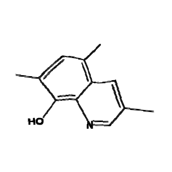 Cc1cnc2c(O)c(C)cc(C)c2c1